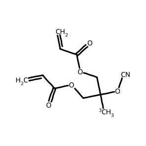 C=CC(=O)OCC([3CH3])(COC(=O)C=C)OC#N